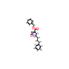 O=C(OCc1ccccc1)C(CCCCCc1ccccc1)=NO